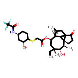 C=C[C@]1(C)C[C@@H](OC(=O)CSC2CC[C@@H](NC(=O)C(F)(F)F)C[C@H]2O)[C@]2(C)C(C)CC34C(=O)CC[C@@]3([C@@H](C)[C@@H]1O)[C@@H]42